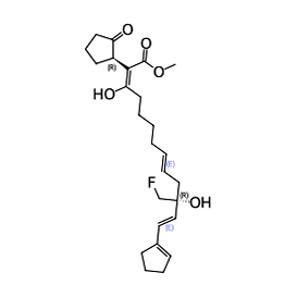 COC(=O)C(=C(O)CCCC/C=C/C[C@@](O)(/C=C/C1=CCCC1)CF)[C@H]1CCCC1=O